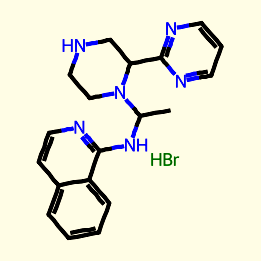 Br.CC(Nc1nccc2ccccc12)N1CCNCC1c1ncccn1